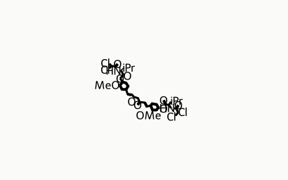 COc1cc(/C=C/C(=O)CC(=O)/C=C/c2ccc(OC(=O)[C@@H](NC(=O)C(Cl)Cl)C(C)C)c(OC)c2)ccc1OC(=O)C(NC(=O)C(Cl)Cl)C(C)C